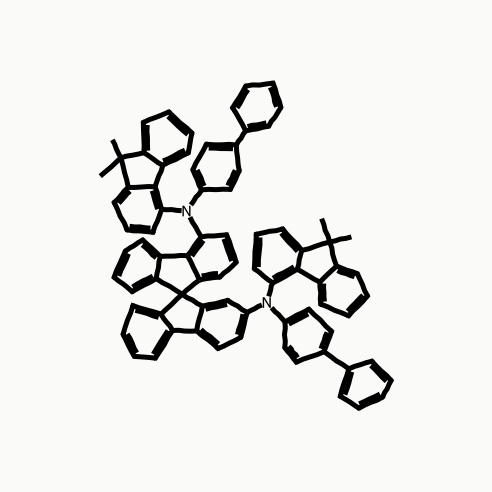 CC1(C)c2ccccc2-c2c(N(c3ccc(-c4ccccc4)cc3)c3ccc4c(c3)C3(c5ccccc5-4)c4ccccc4-c4c(N(c5ccc(-c6ccccc6)cc5)c5cccc6c5-c5ccccc5C6(C)C)cccc43)cccc21